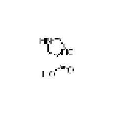 Cl.O=C(O)[C@H]1CCNC1